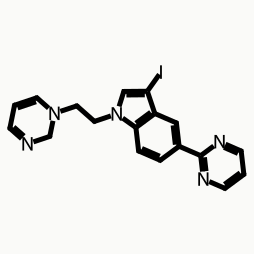 Ic1cn(CCN2C=CC=NC2)c2ccc(-c3ncccn3)cc12